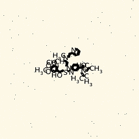 COc1cc(C(O)CSc2nc3cc(C(=O)N(CC(C)C)CC(C)C)ccc3n2CCCN(C)CCc2ccccn2)cc(OC)c1OC